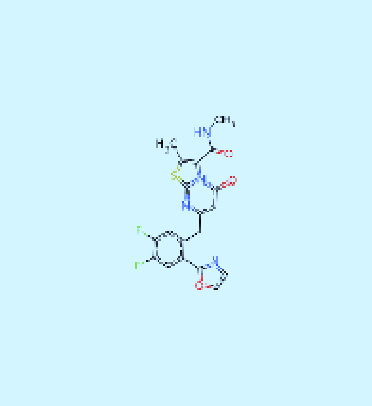 CNC(=O)c1c(C)sc2nc(Cc3cc(F)c(F)cc3-c3ncco3)cc(=O)n12